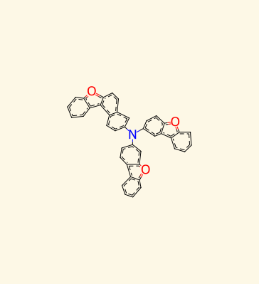 c1ccc2c(c1)oc1cc(N(c3ccc4c(ccc5oc6ccccc6c54)c3)c3ccc4oc5ccccc5c4c3)ccc12